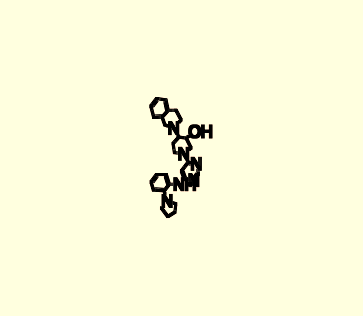 OC1CN(c2cc(Nc3ccccc3N3CCCC3)ncn2)CCC1N1CCc2ccccc2C1